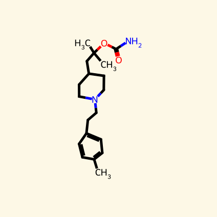 Cc1ccc(CCN2CCC(CC(C)(C)OC(N)=O)CC2)cc1